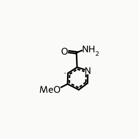 COc1[c]c(C(N)=O)ncc1